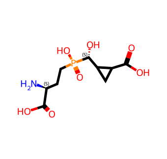 N[C@@H](CCP(=O)(O)[C@H](O)C1CC1C(=O)O)C(=O)O